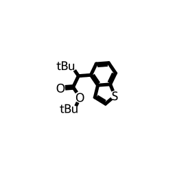 CC(C)(C)OC(=O)C(c1cccc2sccc12)C(C)(C)C